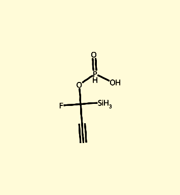 C#CC(F)([SiH3])O[PH](=O)O